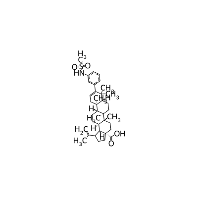 C=C(C)C1CC[C@]2(C(=O)O)CC[C@]3(C)[C@H](CC[C@@H]4[C@@]5(C)CC=C(c6cccc(NS(C)(=O)=O)c6)C(C)(C)[C@@H]5CC[C@]43C)[C@@H]12